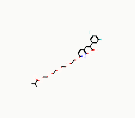 CC(C)C(=O)OCCOCCOCCOCCOc1ccc2cc(-c3cc(F)cc(F)c3)c(=O)oc2n1